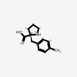 Cc1ccc(C[C@@]2(C(=O)O)CCCN2)cc1